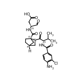 CC(C)[C@H](NC(=O)c1ccc(N)c(Cl)c1)C(=O)N1C[C@@H]2CC[C@@]1(C(=O)N[C@H](C=O)CC(=O)O)C2